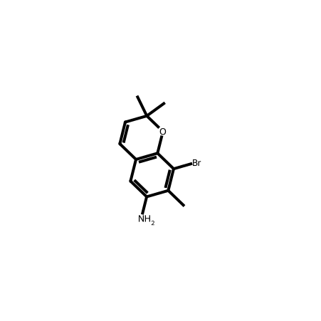 Cc1c(N)cc2c(c1Br)OC(C)(C)C=C2